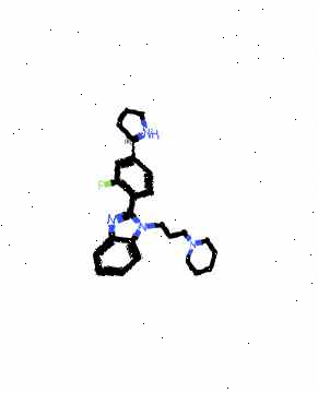 Fc1cc([C@H]2CCCN2)ccc1-c1nc2ccccc2n1CCCN1CCCCC1